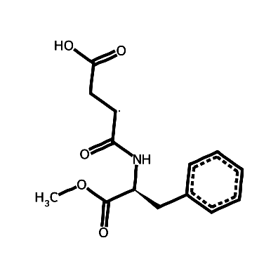 COC(=O)[C@H](Cc1ccccc1)NC(=O)[CH]CC(=O)O